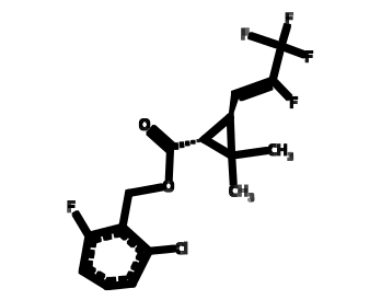 CC1(C)[C@H](/C=C(\F)C(F)(F)F)[C@H]1C(=O)OCc1c(F)cccc1Cl